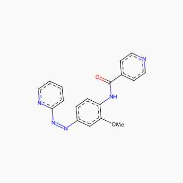 COc1cc(/N=N\c2ccccn2)ccc1NC(=O)c1ccncc1